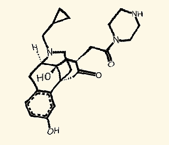 O=C1C[C@]23CCN(CC4CC4)[C@H](Cc4ccc(O)cc42)[C@]3(O)C[C@H]1CC(=O)N1CCNCC1